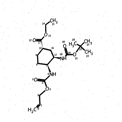 C=CCOC(=O)N[C@H]1CC[C@H](C(=O)OCC)C[C@H]1NC(=O)OC(C)(C)C